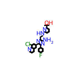 CC(C)(O)c1cccc(NCCc2nc(-c3cc(Cl)c4ncccc4c3)c(-c3ccc(F)cc3)nc2N)n1